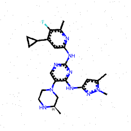 Cc1nc(Nc2ncc(N3CCN[C@H](C)C3)c(Nc3cc(C)n(C)n3)n2)cc(C2CC2)c1F